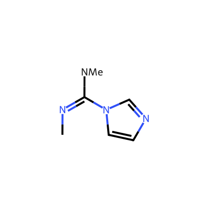 C/N=C(/NC)n1ccnc1